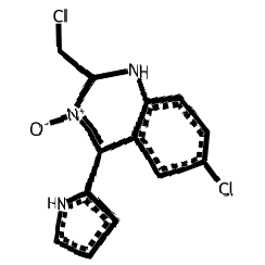 [O-][N+]1=C(c2ccc[nH]2)c2cc(Cl)ccc2NC1CCl